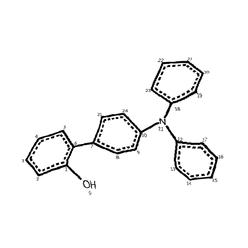 Oc1ccccc1-c1ccc(N(c2ccccc2)c2ccccc2)cc1